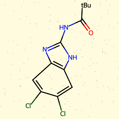 CC(C)(C)C(=O)Nc1nc2cc(Cl)c(Cl)cc2[nH]1